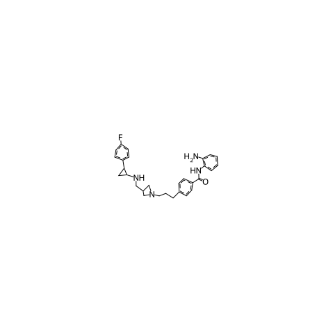 Nc1ccccc1NC(=O)c1ccc(CCCN2CC(CNC3CC3c3ccc(F)cc3)C2)cc1